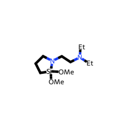 CCN(CC)CCN1CCC[Si]1(OC)OC